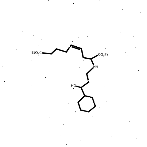 CCOC(=O)CCC/C=C\CC(NCCC(O)C1CCCCC1)C(=O)OCC